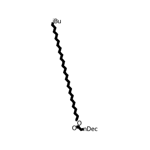 CCCCCCCCCCCC(=O)OCCCCCCCCCCCCCCCCCCCCCCCCCCCCCC(C)CC